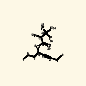 CCC#CC(CCC)OC(=O)C(F)C(F)(F)F